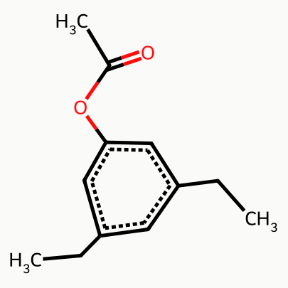 CCc1cc(CC)cc(OC(C)=O)c1